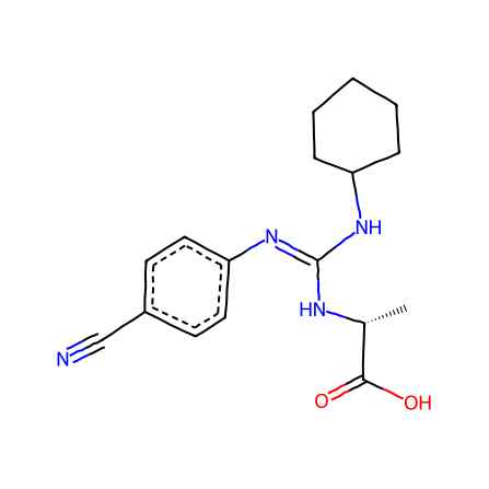 C[C@@H](NC(=Nc1ccc(C#N)cc1)NC1CCCCC1)C(=O)O